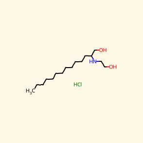 CCCCCCCCCCCCC(CO)NCCO.Cl